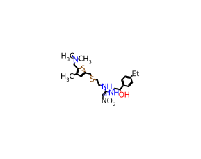 CCc1ccc(C(O)CN/C(=C\[N+](=O)[O-])NCCSCc2cc(C)c(CN(C)C)s2)cc1